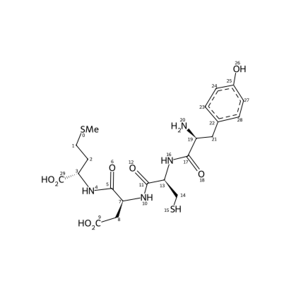 CSCC[C@H](NC(=O)[C@H](CC(=O)O)NC(=O)[C@H](CS)NC(=O)[C@@H](N)Cc1ccc(O)cc1)C(=O)O